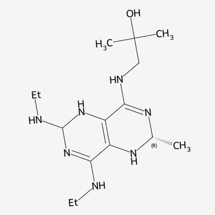 CCNC1=NC(NCC)NC2=C1N[C@@H](C)N=C2NCC(C)(C)O